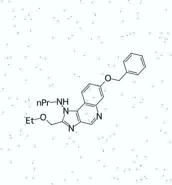 CCCNn1c(COCC)nc2cnc3cc(OCc4ccccc4)ccc3c21